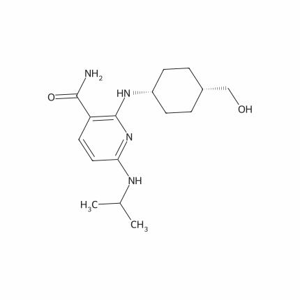 CC(C)Nc1ccc(C(N)=O)c(N[C@H]2CC[C@@H](CO)CC2)n1